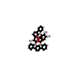 N#CC1CC=C(C2=C(n3c4ccccc4c4ccccc43)C(C#N)C(C#N)C=C2)C=C1n1c2ccccc2c2ccc3c4ccccc4n(-c4ccccc4)c3c21